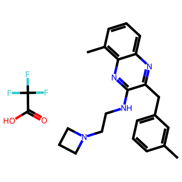 Cc1cccc(Cc2nc3cccc(C)c3nc2NCCN2CCC2)c1.O=C(O)C(F)(F)F